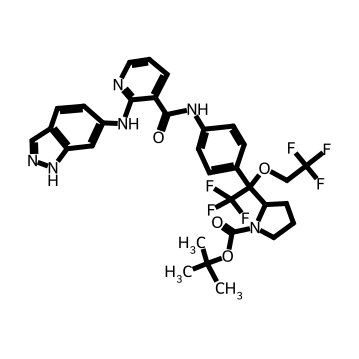 CC(C)(C)OC(=O)N1CCCC1C(OCC(F)(F)F)(c1ccc(NC(=O)c2cccnc2Nc2ccc3cn[nH]c3c2)cc1)C(F)(F)F